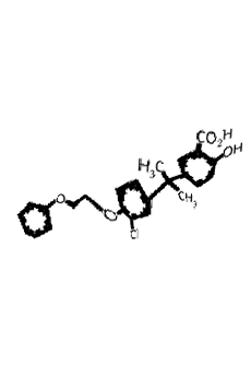 CC(C)(c1ccc(OCCOc2ccccc2)c(Cl)c1)c1ccc(O)c(C(=O)O)c1